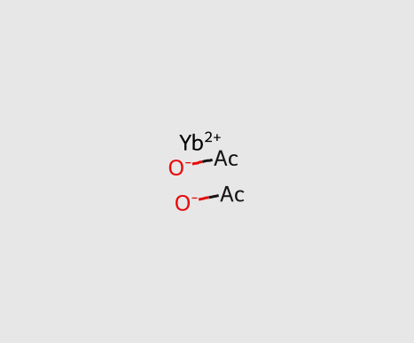 CC(=O)[O-].CC(=O)[O-].[Yb+2]